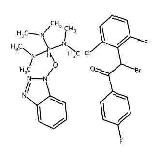 CN(C)[PH](On1nnc2ccccc21)(N(C)C)N(C)C.O=C(c1ccc(F)cc1)C(Br)c1c(F)cccc1Cl